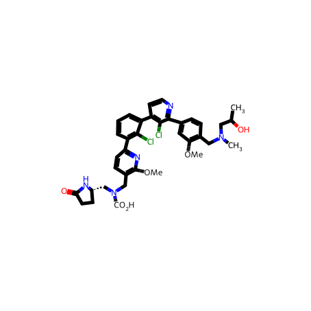 COc1cc(-c2nccc(-c3cccc(-c4ccc(CN(C[C@@H]5CCC(=O)N5)C(=O)O)c(OC)n4)c3Cl)c2Cl)ccc1CN(C)CC(C)O